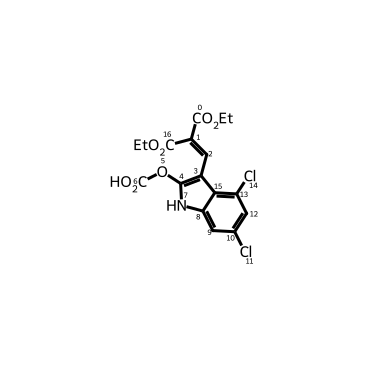 CCOC(=O)C(=Cc1c(OC(=O)O)[nH]c2cc(Cl)cc(Cl)c12)C(=O)OCC